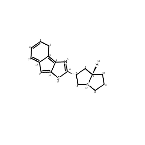 C1=CCC2=c3nc([C@@H]4C[C@@H]5CCCN5C4)sc3=CC2=C1